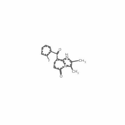 Cc1[nH]c2c(C(=O)c3ccccc3F)ccc(=O)n2c1C